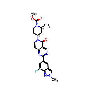 C[C@H]1C[C@@H](n2ccc3nc(-c4cc(F)c5nn(C)cc5c4)ncc3c2=O)CCN1C(=O)OC(C)(C)C